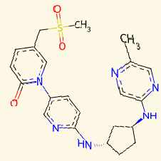 Cc1cnc(N[C@H]2CC[C@H](Nc3ccc(-n4cc(CS(C)(=O)=O)ccc4=O)cn3)C2)cn1